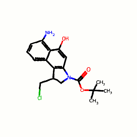 CC(C)(C)OC(=O)N1CC(CCl)c2c1cc(O)c1c(N)cccc21